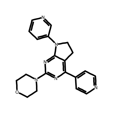 c1cncc(N2CCc3c(-c4ccncc4)nc(N4CCOCC4)nc32)c1